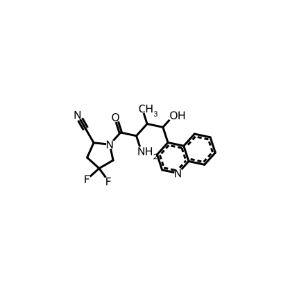 CC(C(N)C(=O)N1CC(F)(F)CC1C#N)C(O)c1ccnc2ccccc12